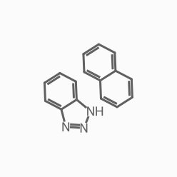 c1ccc2[nH]nnc2c1.c1ccc2ccccc2c1